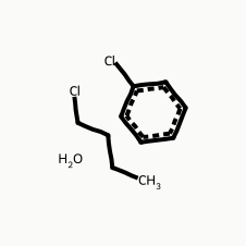 CCCCCl.Clc1ccccc1.O